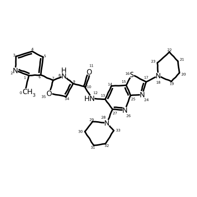 Cc1ncccc1C1NC(C(=O)Nc2cc3sc(N4CCCCC4)nc3nc2N2CCCCC2)=CO1